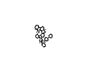 c1ccc(-c2ccc(-n3c(-n4c5ccc6sc7ccc8c9ccccc9n9c%10cccc4c%10c5c6c7c89)nc4ccccc43)cc2)cc1